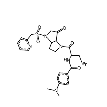 CC(C)CC(NC(=O)c1ccc(N(C)C)cc1)C(=O)N1CCC2C1C(=O)CN2S(=O)(=O)Cc1ccccn1